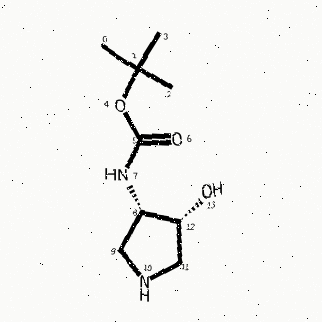 CC(C)(C)OC(=O)N[C@H]1CNC[C@H]1O